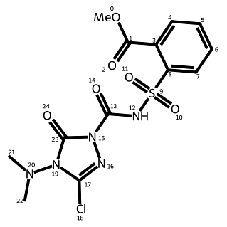 COC(=O)c1ccccc1S(=O)(=O)NC(=O)n1nc(Cl)n(N(C)C)c1=O